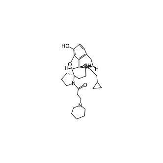 O=C(CCN1CCCCC1)N1CCC[C@]12CC[C@@]1(O)[C@H]3Cc4ccc(O)c5c4[C@@]1(CCN3CC1CC1)[C@H]2O5